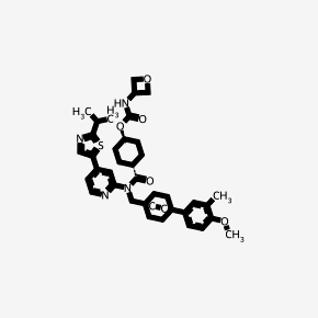 COc1ccc(C23CCC(CN(c4cc(-c5cnc(C(C)C)s5)ccn4)C(=O)[C@H]4CC[C@H](OC(=O)NC5COC5)CC4)(CC2)CC3)cc1C